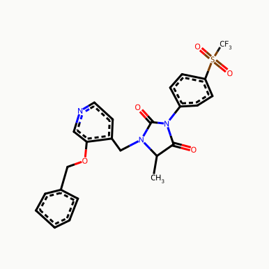 CC1C(=O)N(c2ccc(S(=O)(=O)C(F)(F)F)cc2)C(=O)N1Cc1ccncc1OCc1ccccc1